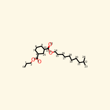 CCCOC(=O)C1CCCC(C(=O)OCCCCCCCCC(C)C)C1